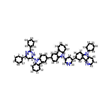 c1ccc(-c2cc(-n3c4ccccc4c4cc(-c5ccc6c(c5)c5ccccc5n6-c5cncc(-c6ccc7c(c6)c6ncccc6n7-c6ccccc6)c5)ccc43)nc(-c3ccccc3)n2)cc1